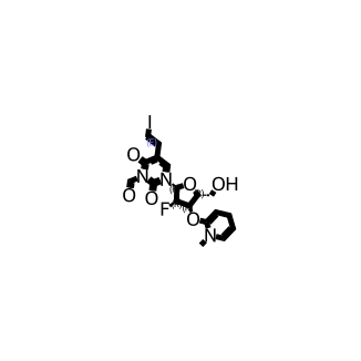 CN1C=CCC=C1O[C@H]1[C@@H](F)[C@H](n2cc(/C=C/I)c(=O)n(C=O)c2=O)O[C@@H]1CO